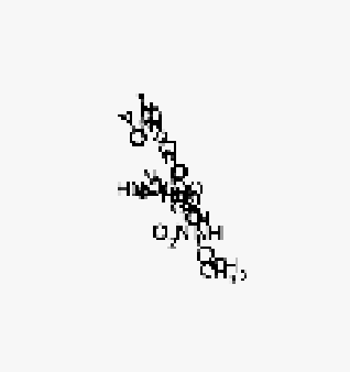 CC1(C)CCC(CNc2ncc(S(=O)(=O)NC(=O)c3ccc(N4CCC5(CC4)CC(N4CCN(C6CC6)C[C@@H]4c4ccccc4C4CC4)C5)cc3Oc3cnc4[nH]ccc4c3)cc2[N+](=O)[O-])CC1